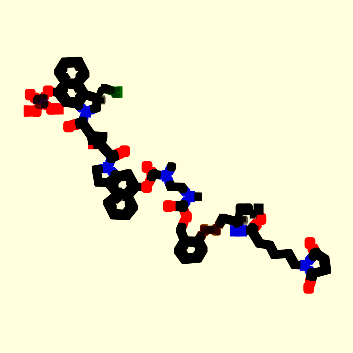 CN(CCN(C)C(=O)Oc1cc2c(c3ccccc13)CCN2C(=O)C12CC(C(=O)N3C[C@@H](CCl)c4c3cc(OP(=O)(O)O)c3ccccc43)(C1)C2)C(=O)OCc1ccccc1SSC[C@H](NC(=O)CCCCCN1C(=O)C=CC1=O)C(=O)O